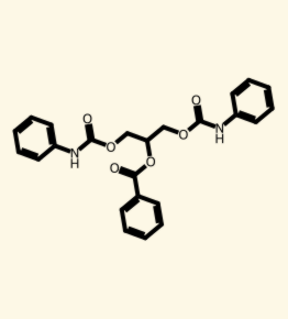 O=C(Nc1ccccc1)OCC(COC(=O)Nc1ccccc1)OC(=O)c1ccccc1